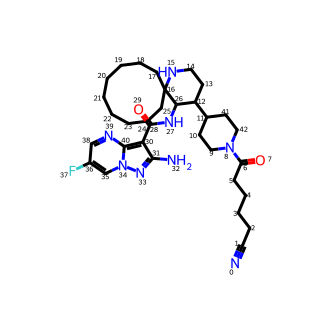 N#CCCCCC(=O)N1CCC(C2CCNC3(CCCCCCCCC3)C2NC(=O)c2c(N)nn3cc(F)cnc23)CC1